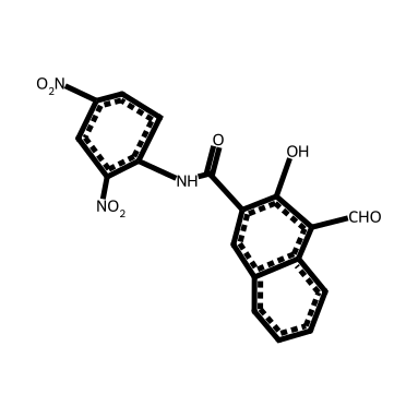 O=Cc1c(O)c(C(=O)Nc2ccc([N+](=O)[O-])cc2[N+](=O)[O-])cc2ccccc12